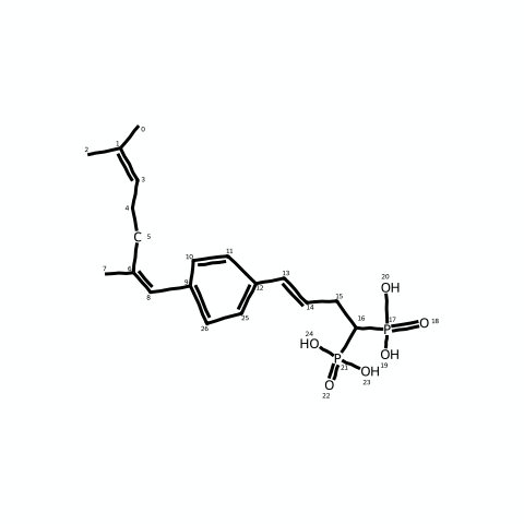 CC(C)=CCCC(C)=Cc1ccc(C=CCC(P(=O)(O)O)P(=O)(O)O)cc1